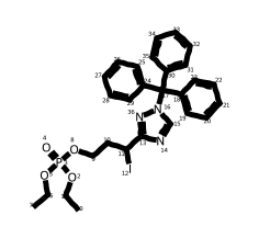 CCOP(=O)(OCC)OCCC(I)c1ncn(C(c2ccccc2)(c2ccccc2)c2ccccc2)n1